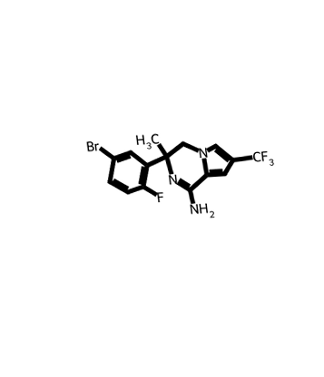 CC1(c2cc(Br)ccc2F)Cn2cc(C(F)(F)F)cc2C(N)=N1